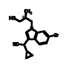 C[C@H](CO)Cn1cc(C(C#N)C2CC2)c2ccc(Br)cc21